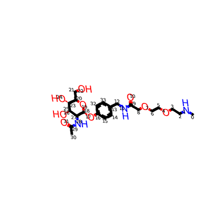 CNCCOCCOCC(=O)NCc1ccc(O[C@@H]2OC(CO)[C@@H](O)[C@H](O)C2NC(C)=O)cc1